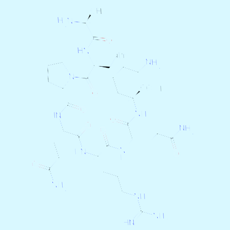 CC(C)C[C@H](NC(=O)[C@H](C)N)C(=O)N1CCC[C@H]1C(=O)N[C@@H](CCC(N)=O)C(=O)N[C@@H](CCCNC(=N)N)C(=O)N[C@@H](CCC(N)=O)C(=O)N[C@@H](CCCCN)C(=O)O